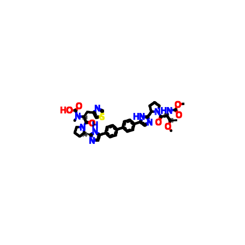 COC(=O)N[C@H](C(=O)N1CCCC1c1ncc(-c2ccc(-c3ccc(-c4cnc([C@@H]5CCCN5C(=O)[C@H](Cc5cscn5)N(C)C(=O)O)[nH]4)cc3)cc2)[nH]1)[C@@H](C)OC